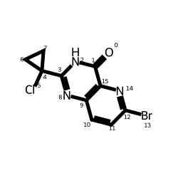 O=c1[nH]c(C2(Cl)CC2)nc2ccc(Br)nc12